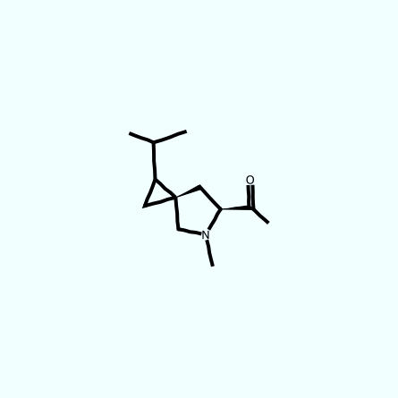 CC(=O)[C@@H]1C[C@]2(CC2C(C)C)CN1C